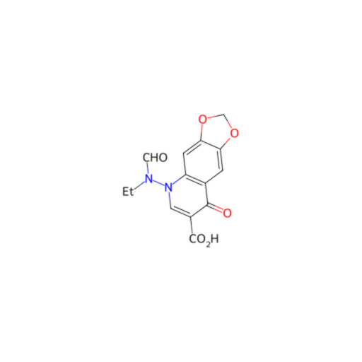 CCN(C=O)n1cc(C(=O)O)c(=O)c2cc3c(cc21)OCO3